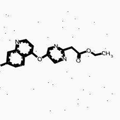 CCOC(=O)Cc1ncc(Oc2ccnc3cc(F)ccc23)cn1